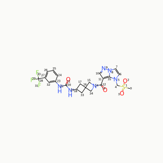 CS(=O)(=O)Cn1ccn2ncc(C(=O)N3CC4(CC(NC(=O)Nc5cccc(C(F)(F)F)c5)C4)C3)c12